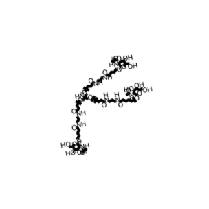 CNC(COC(C)(C)CCC(=O)NCCCNC(=O)CCCCO[C@@H]1OC(CO)[C@H](O)C(O)C1NC(C)=O)(COC(C)(C)CCC(=O)NCCCNC(=O)CCCCO[C@@H]1OC(CO)[C@H](O)C(O)C1NC(C)=O)COC(C)(C)C(C)(C)CCC(=O)NCCCNC(=O)CCCCC(C)(C)O[C@@H]1OC(CO)[C@H](O)C(O)C1NC(C)=O